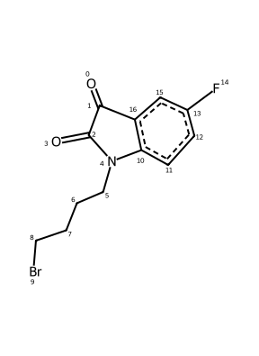 O=C1C(=O)N(CCCCBr)c2ccc(F)cc21